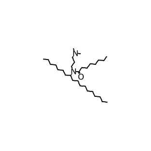 CCCCCCCCCCC(CCCCCCC)N(CCCN(C)C)C(=O)CCCCCCC